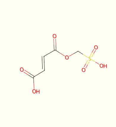 O=C(O)C=CC(=O)OCS(=O)(=O)O